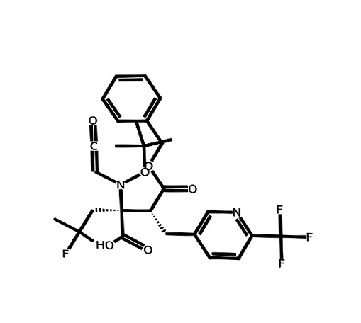 CC(C)(F)C[C@@](C(=O)O)([C@@H](Cc1ccc(C(F)(F)F)nc1)C(=O)OCc1ccccc1)N(C=C=O)OC(C)(C)C